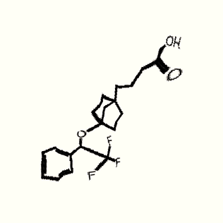 O=C(O)CCCC12CCC(OC(c3ccccc3)C(F)(F)F)(CC1)C2